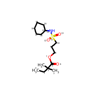 CCC(C)(C)C(=O)OCCCS(=O)(=O)NC1CCCCC1